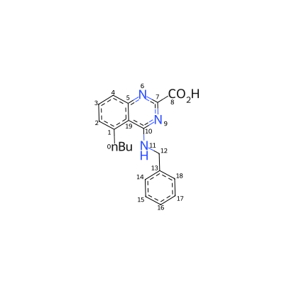 CCCCc1cccc2nc(C(=O)O)nc(NCc3ccccc3)c12